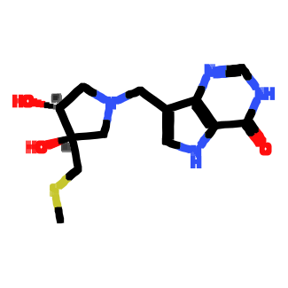 CSC[C@@]1(O)CN(Cc2c[nH]c3c(=O)[nH]cnc23)C[C@H]1O